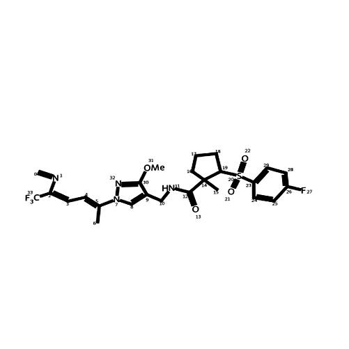 C=N/C(=C\C=C(/C)n1cc(CNC(=O)C2(C)CCCC2S(=O)(=O)c2ccc(F)cc2)c(OC)n1)C(F)(F)F